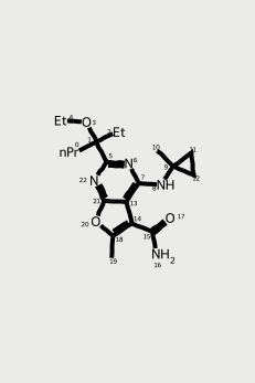 CCCC(CC)(OCC)c1nc(NC2(C)CC2)c2c(C(N)=O)c(C)oc2n1